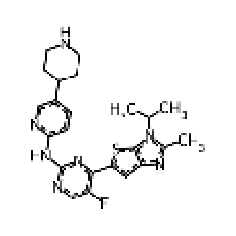 Cc1nc2cc(-c3nc(Nc4ccc(C5CCNCC5)cn4)ncc3F)sc2n1C(C)C